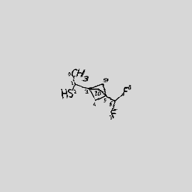 CC(S)C12CC(C(F)F)(C1)C2